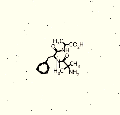 C[C@H](NC(=O)[C@H](Cc1ccccc1)NC(=O)C(C)(C)N)C(=O)O